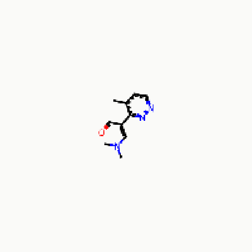 Cc1ccnnc1C(C=O)=CN(C)C